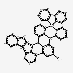 Cc1cc2c3c(c1)N1c4ccccc4[Si](c4ccccc4)(c4ccccc4)c4cccc(c41)B3n1c3sc4ccccc4c3c3cccc-2c31